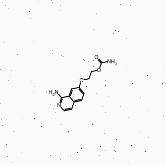 NC(=O)OCCOc1ccc2ccnc(N)c2c1